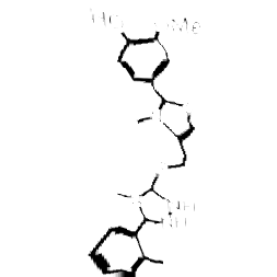 COc1cc(C2SCC(CSC3NNC(c4ccccc4C)N3C)N2C)ccc1O